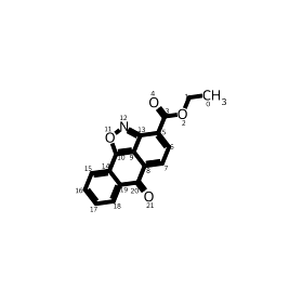 CCOC(=O)c1ccc2c3c(onc13)-c1ccccc1C2=O